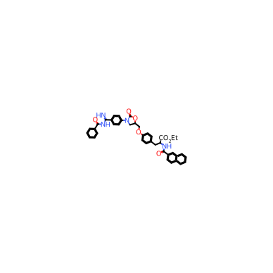 CCOC(=O)C(Cc1ccc(OCC2CN(c3ccc(C(=N)NC(=O)c4ccccc4)cc3)C(=O)O2)cc1)NC(=O)c1ccc2ccccc2c1